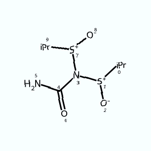 CC(C)[S+]([O-])N(C(N)=O)[S+]([O-])C(C)C